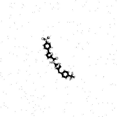 O=C(Nc1ncc(Cc2ccc(C(F)(F)F)cc2)s1)c1ccc(-c2ccc([N+](=O)[O-])cc2)o1